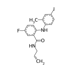 C=CCNC(=O)c1cc(F)ccc1Nc1ccc(I)cc1C